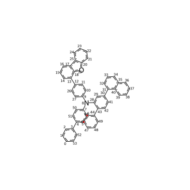 c1ccc(-c2ccc(N(c3ccc(-c4cccc5c4oc4ccccc45)cc3)c3cc(-c4cccc5ccccc45)ccc3-c3ccccc3)cc2)cc1